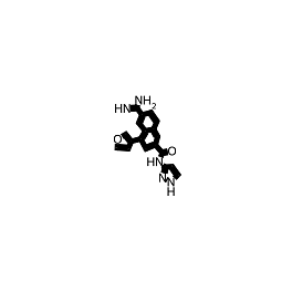 N=C(N)c1ccc2cc(C(=O)Nc3cc[nH]n3)cc(-c3ccoc3)c2c1